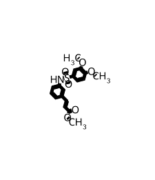 COC(=O)C=Cc1cccc(NS(=O)(=O)c2ccc(OC)c(OC)c2)c1